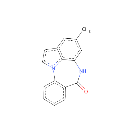 Cc1cc2c3c(ccn3-c3ccccc3C(=O)N2)c1